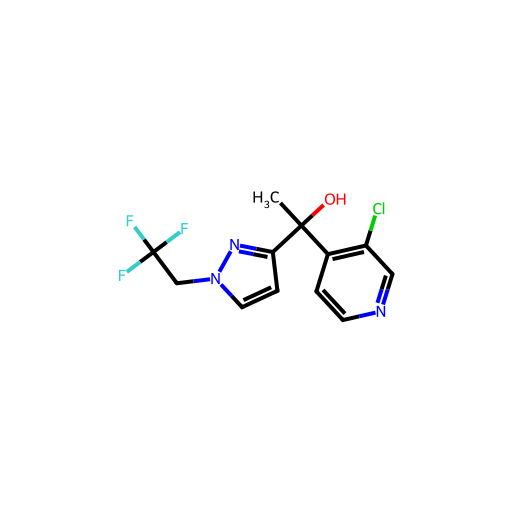 CC(O)(c1ccn(CC(F)(F)F)n1)c1ccncc1Cl